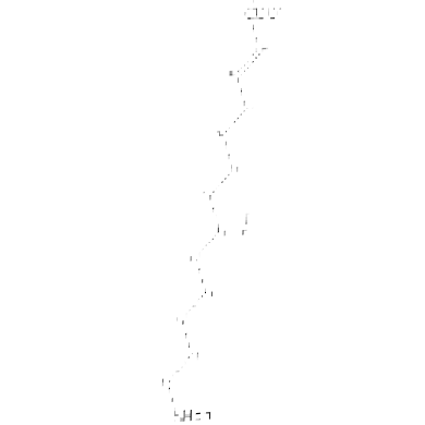 CCCCCCCCCCCCCCCCCCCC=CC(=O)[O-].[K+]